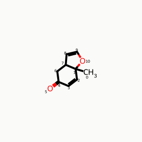 CC12C=CC(=O)CC1C=CO2